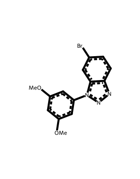 COc1cc(OC)cc(-n2nnc3ccc(Br)cc32)c1